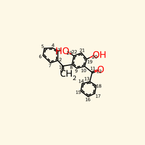 C=C(c1ccccc1)c1cc(C(=O)c2ccccc2)c(O)cc1O